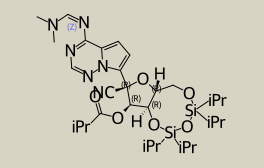 CC(C)C(=O)O[C@@H]1[C@@H]2O[Si](C(C)C)(C(C)C)O[Si](C(C)C)(C(C)C)OC[C@H]2O[C@@]1(C#N)c1ccc2c(/N=C\N(C)C)ncnn12